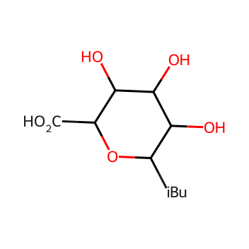 CCC(C)C1OC(C(=O)O)C(O)C(O)C1O